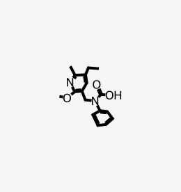 CCc1cc(CN(C(=O)O)c2ccccc2)c(OC)nc1C